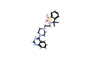 CC1(C)c2ccccc2S(=O)(=O)N1CCN1CCN(c2ncnc3ccccc23)CC1